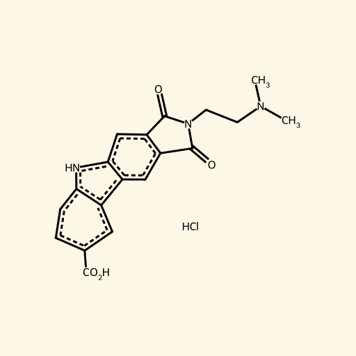 CN(C)CCN1C(=O)c2cc3[nH]c4ccc(C(=O)O)cc4c3cc2C1=O.Cl